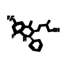 CC1c2cc(C(F)(F)F)cc(F)c2N[C@@H](C2C=CC=CC2)[C@@H]1CC[C@@H](C)CO